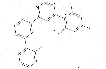 Cc1cc(C)c(-c2ccnc(-c3cccc(-c4ccccc4C)c3)c2)c(C)c1